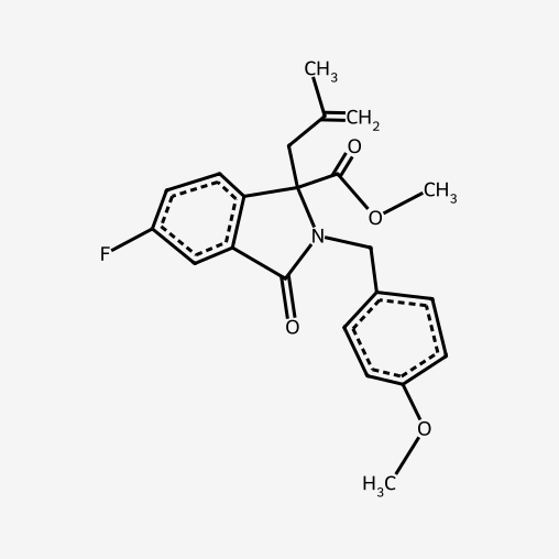 C=C(C)CC1(C(=O)OC)c2ccc(F)cc2C(=O)N1Cc1ccc(OC)cc1